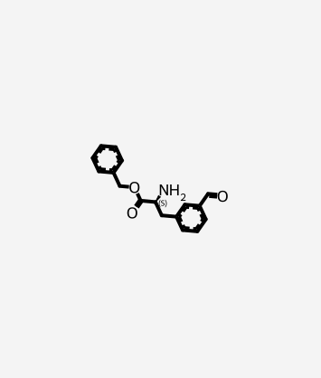 N[C@@H](Cc1cccc(C=O)c1)C(=O)OCc1ccccc1